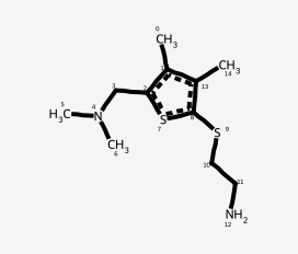 Cc1c(CN(C)C)sc(SCCN)c1C